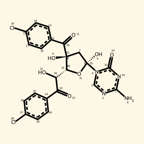 Nc1ncn([C@]2(O)C[C@@](O)(C(=O)c3ccc(Cl)cc3)[C@@H](C(O)C(=O)c3ccc(Cl)cc3)O2)c(=O)n1